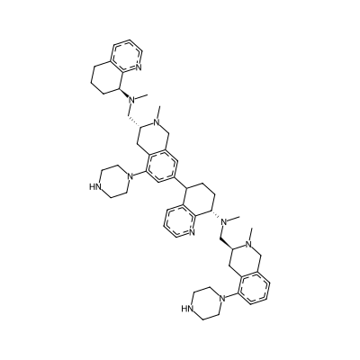 CN1Cc2cc(C3CC[C@H](N(C)C[C@@H]4Cc5c(cccc5N5CCNCC5)CN4C)c4ncccc43)cc(N3CCNCC3)c2C[C@@H]1CN(C)[C@H]1CCCc2cccnc21